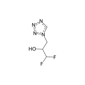 OC(Cn1cnnn1)C(F)F